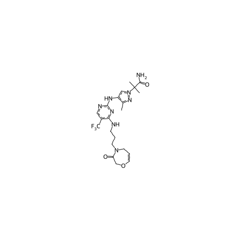 Cc1nn(C(C)(C)C(N)=O)cc1Nc1ncc(C(F)(F)F)c(NCCCN2CC=COCC2=O)n1